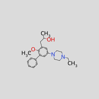 CCN1CCN(c2cc(CC(C)O)c(OC)c(-c3ccccc3)c2)CC1